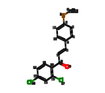 CCCCSc1ccc(C=CC(=O)c2ccc(Cl)cc2Cl)cc1